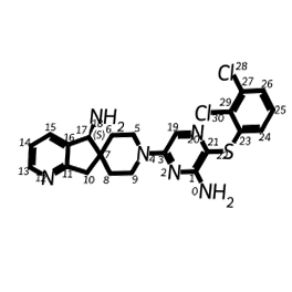 Nc1nc(N2CCC3(CC2)Cc2ncccc2[C@H]3N)cnc1Sc1cccc(Cl)c1Cl